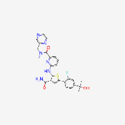 CN(Cc1cnccn1)C(=O)c1cccc(Nc2sc(-c3ccc(C(C)(C)O)cc3F)cc2C(N)=O)n1